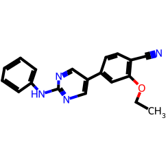 CCOc1cc(-c2cnc(Nc3ccccc3)nc2)ccc1C#N